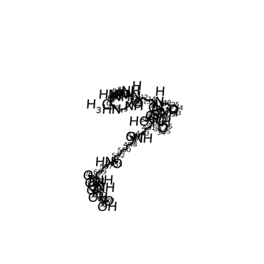 CC12CNCCNCC(NC(=O)CCCC(=O)NC(Cc3ccccc3)C(=O)N[C@H](Cc3ccccc3)C(=O)NC(CCCCNC(=O)CCCCCCC(=O)NCCCCC(NC(=O)NC(CCC(=O)O)C(=O)O)C(=O)O)C(=O)O)(CNCCNC1)CNCCNC2